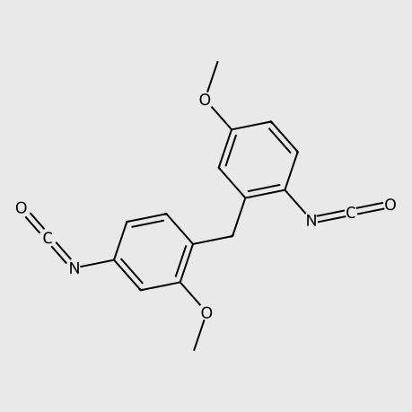 COc1ccc(N=C=O)c(Cc2ccc(N=C=O)cc2OC)c1